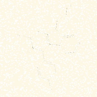 N#Cc1cc2c(c3ccccc3n2CCO)n(-c2ccc([N+](=O)[O-])cc2)c1=O